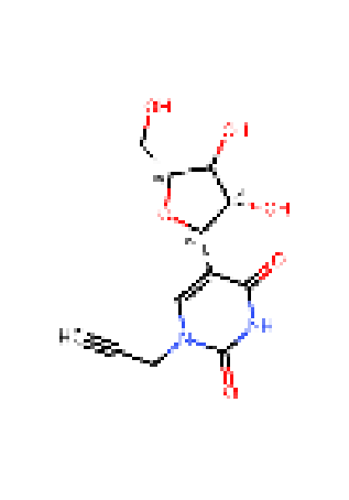 C#CCn1cc([C@@H]2O[C@H](CO)C(O)[C@@H]2O)c(=O)[nH]c1=O